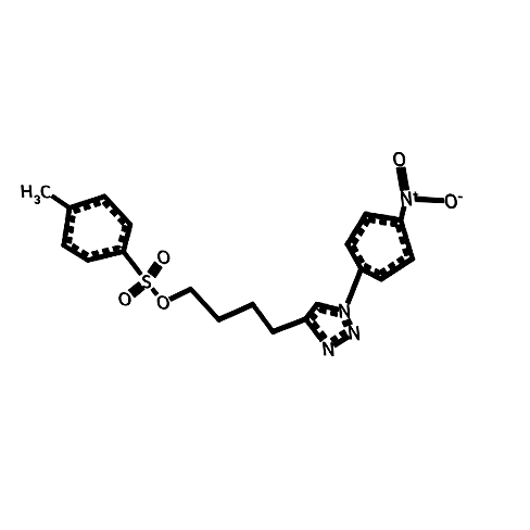 Cc1ccc(S(=O)(=O)OCCCCc2cn(-c3ccc([N+](=O)[O-])cc3)nn2)cc1